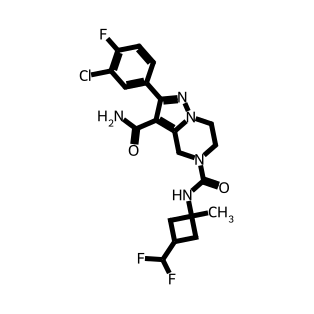 CC1(NC(=O)N2CCn3nc(-c4ccc(F)c(Cl)c4)c(C(N)=O)c3C2)CC(C(F)F)C1